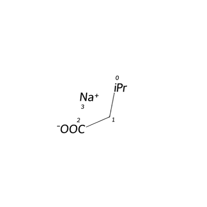 CC(C)C[13C](=O)[O-].[Na+]